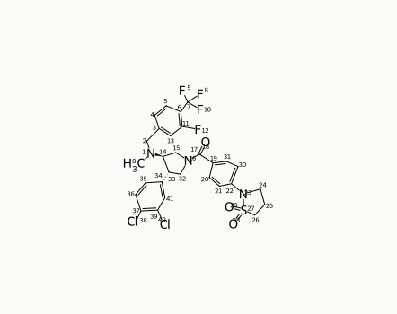 CN(Cc1ccc(C(F)(F)F)c(F)c1)[C@H]1CN(C(=O)c2ccc(N3CCCS3(=O)=O)cc2)C[C@@H]1c1ccc(Cl)c(Cl)c1